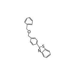 c1ccc(COCc2ccc(-c3nc4ccccc4s3)cc2)cc1